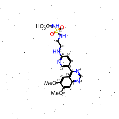 COc1cc2ncnc(-c3ccc(NCCNS(=O)(=O)NC(=O)O)nc3)c2cc1OC